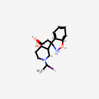 CC(I)N1CCCC(C2(CC(=O)O)NOc3ccccc32)C1